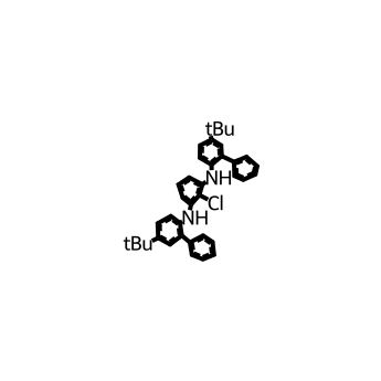 CC(C)(C)c1ccc(Nc2cccc(Nc3ccc(C(C)(C)C)cc3-c3ccccc3)c2Cl)c(-c2ccccc2)c1